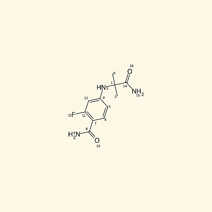 CC(C)(Nc1ccc(C(N)=O)c(F)c1)C(N)=O